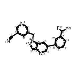 N#Cc1cncc(Cn2ncc3ncc(-c4cccc(C(F)F)c4)cc32)c1